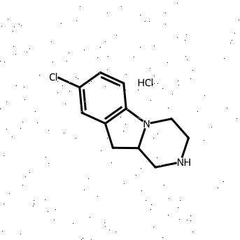 Cl.Clc1ccc2c(c1)CC1CNCCN21